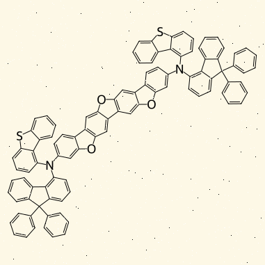 c1ccc(C2(c3ccccc3)c3ccccc3-c3c(N(c4ccc5c(c4)oc4cc6c(cc45)oc4cc5c(cc46)oc4cc(N(c6cccc7c6-c6ccccc6C7(c6ccccc6)c6ccccc6)c6cccc7sc8ccccc8c67)ccc45)c4cccc5sc6ccccc6c45)cccc32)cc1